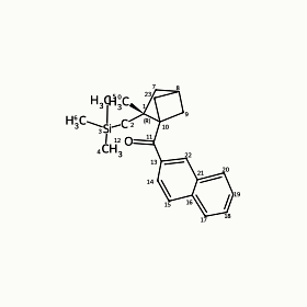 C[C@@]1(C[Si](C)(C)C)CC2CC1(C(=O)c1ccc3ccccc3c1)C2